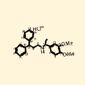 COc1ccc(C(C)NCCC(c2ccccc2)c2ccccc2)cc1OC.Cl